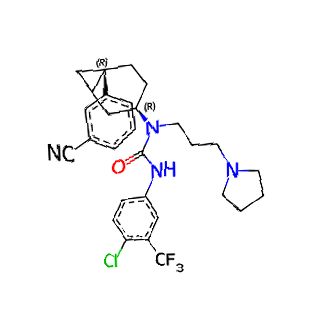 N#Cc1cccc([C@@]23CC[C@@H](N(CCCN4CCCC4)C(=O)Nc4ccc(Cl)c(C(F)(F)F)c4)CC2C3)c1